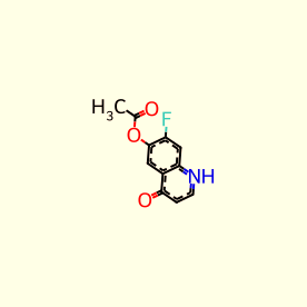 CC(=O)Oc1cc2c(=O)cc[nH]c2cc1F